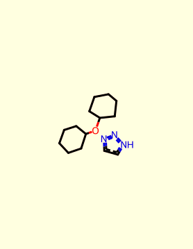 C1CCC(OC2CCCCC2)CC1.c1c[nH]nn1